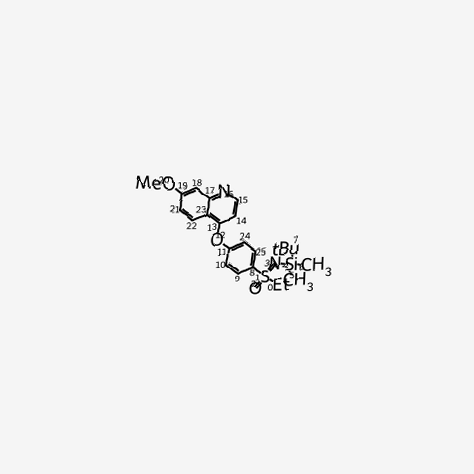 CCS(=O)(=N[Si](C)(C)C(C)(C)C)c1ccc(Oc2ccnc3cc(OC)ccc23)cc1